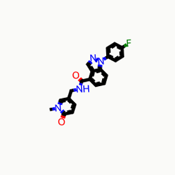 Cn1cc(CNC(=O)c2cccc3c2cnn3-c2ccc(F)cc2)ccc1=O